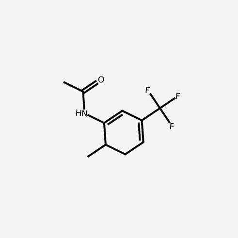 CC(=O)NC1=CC(C(F)(F)F)=CCC1C